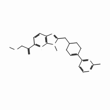 COCC(=O)c1ccc2nc(CC3CC=C(c4ccnc(C)n4)CC3)n(C)c2n1